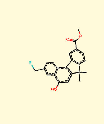 COC(=O)c1ccc2c(c1)-c1c(cc(O)c3cc(CF)ccc13)C2(C)C